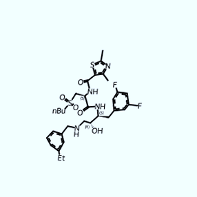 CCCCS(=O)(=O)C[C@@H](NC(=O)c1sc(C)nc1C)C(=O)N[C@@H](Cc1cc(F)cc(F)c1)[C@H](O)CNCc1cccc(CC)c1